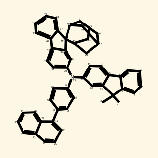 CC1(C)c2ccccc2-c2ccc(N(c3ccc(-c4cccc5ccccc45)cc3)c3ccc4c(c3)C3(c5ccccc5-4)C4CC5CC(C4)CC3C5)cc21